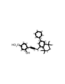 CC1(C)CCC(C)(C)c2c(CC#Cc3ccc(C(=O)O)cc3O)cc(-c3ccccc3)cc21